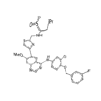 COc1cc2ncnc(Nc3ccc(OCc4cccc(F)c4)c(Cl)c3)c2cc1-c1csc(CNC(CC(C)C)=S(=O)=O)n1